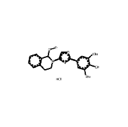 CCOC1c2ccccc2CCN1c1coc(-c2cc(C(C)(C)C)c(O)c(C(C)(C)C)c2)n1.Cl